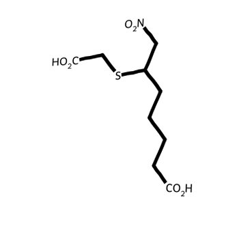 O=C(O)CCCCC(C[N+](=O)[O-])SCC(=O)O